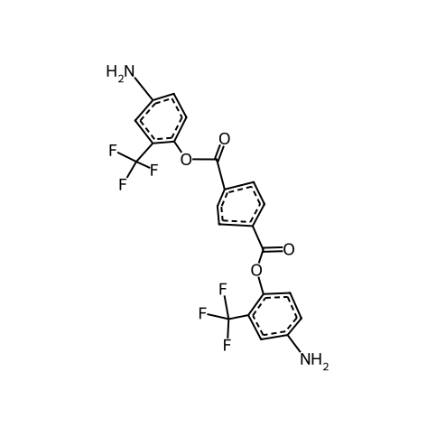 Nc1ccc(OC(=O)c2ccc(C(=O)Oc3ccc(N)cc3C(F)(F)F)cc2)c(C(F)(F)F)c1